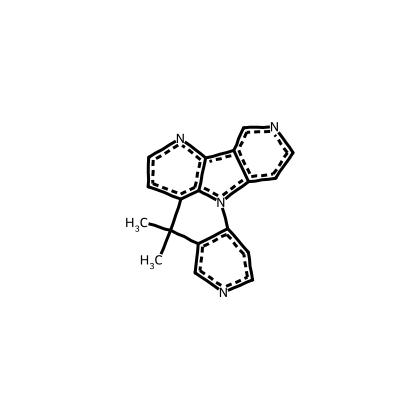 CC1(C)c2cnccc2-n2c3ccncc3c3nccc1c32